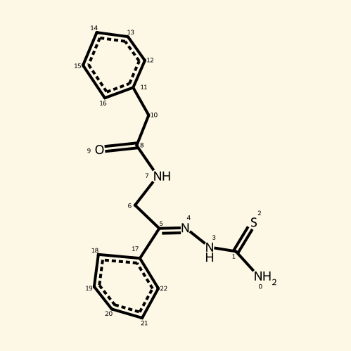 NC(=S)NN=C(CNC(=O)Cc1ccccc1)c1ccccc1